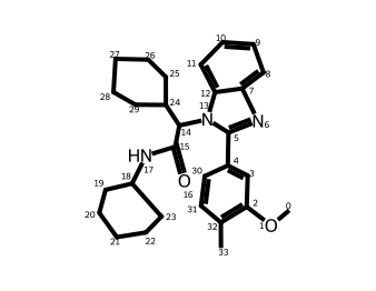 COc1cc(-c2nc3ccccc3n2C(C(=O)NC2CCCCC2)C2CCCCC2)ccc1C